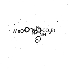 CCOC(=O)c1cnc2c(cnn2Cc2ccc(OC)cc2)c1NC1CCOCC1